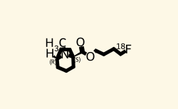 CN1[C@@H]2CCC[C@@]1(C(=O)OCCCC[18F])CC2